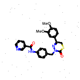 COc1ccc(C2=NN(Cc3ccc(NC(=O)c4cccnc4)cc3)C(=O)SC2)cc1OC